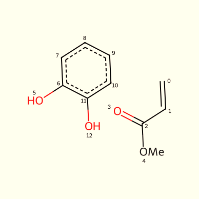 C=CC(=O)OC.Oc1ccccc1O